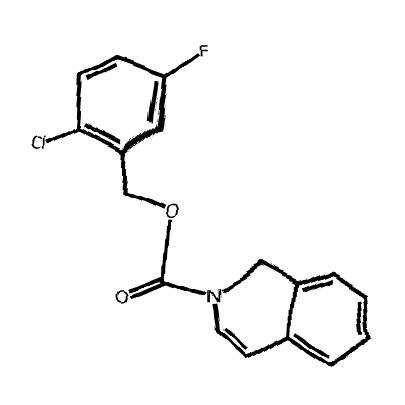 O=C(OCc1cc(F)ccc1Cl)N1C=Cc2ccccc2C1